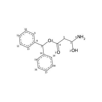 NC(O)CC(=O)OC(c1ccccc1)c1ccccc1